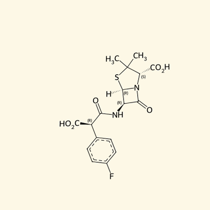 CC1(C)S[C@@H]2[C@H](NC(=O)[C@H](C(=O)O)c3ccc(F)cc3)C(=O)N2[C@H]1C(=O)O